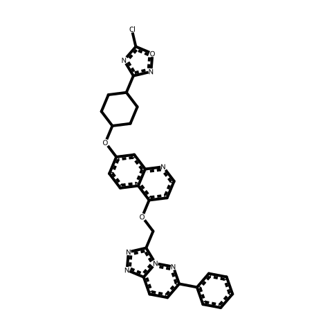 Clc1nc(C2CCC(Oc3ccc4c(OCc5nnc6ccc(-c7ccccc7)nn56)ccnc4c3)CC2)no1